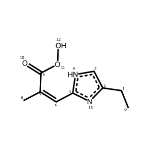 CCc1c[nH]c(C=C(C)C(=O)OO)n1